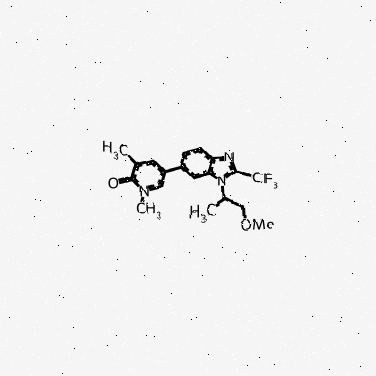 COCC(C)n1c(C(F)(F)F)nc2ccc(-c3cc(C)c(=O)n(C)c3)cc21